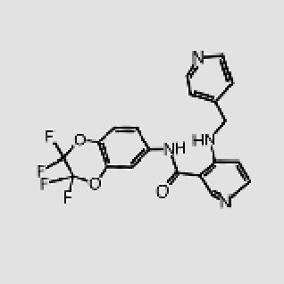 O=C(Nc1ccc2c(c1)OC(F)(F)C(F)(F)O2)c1cnccc1NCc1ccncc1